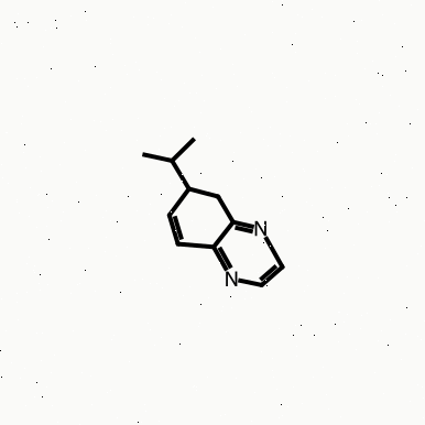 CC(C)C1C=Cc2nccnc2C1